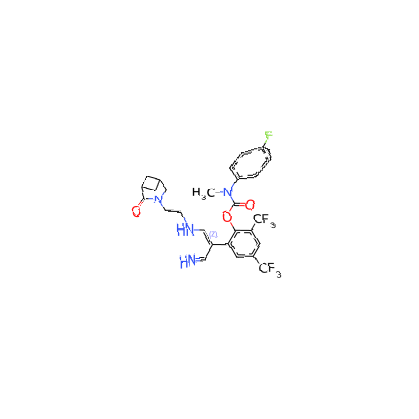 CN(C(=O)Oc1c(/C(C=N)=C/NCCN2CC3CC(C3)C2=O)cc(C(F)(F)F)cc1C(F)(F)F)c1ccc(F)cc1